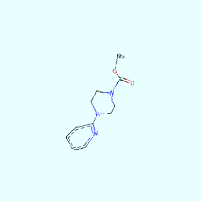 CC(C)(C)OC(=O)N1CCN(c2ccccn2)CC1